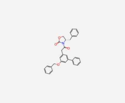 O=C(Cc1cc(OCc2ccccc2)cc(-c2ccccc2)c1)N1C(=O)OC[C@@H]1Cc1ccccc1